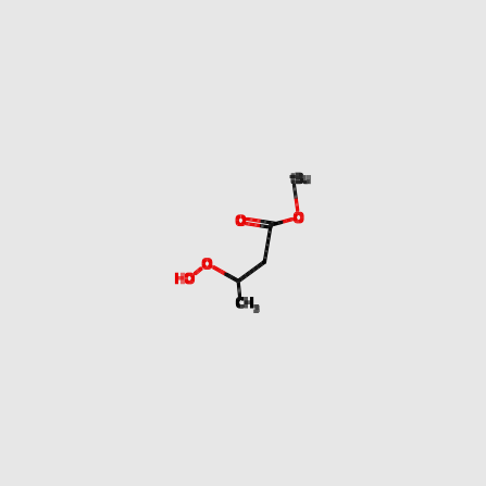 CC(CC(=O)OC(C)(C)C)OO